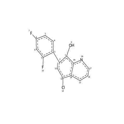 Oc1c(-c2ccc(F)cc2F)cc(Cl)c2cccnc12